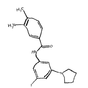 Cc1ccc(C(=O)Nc2cc(F)cc(N3CCCC3)c2)cc1N